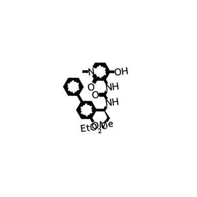 CCOC(=O)C[C@H](NC(=O)Nc1c(O)ccn(C)c1=O)c1cc(-c2ccccc2)ccc1OC